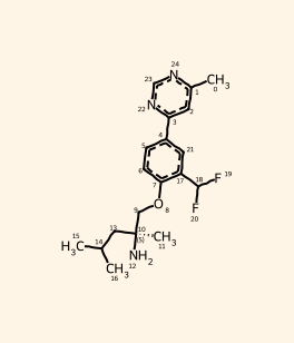 Cc1cc(-c2ccc(OC[C@@](C)(N)CC(C)C)c(C(F)F)c2)ncn1